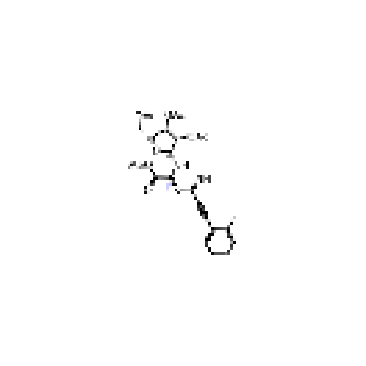 COC(=O)/C(=N/C(=N)C#Cc1ccccc1F)N[C@@H]1O[C@H](COC(C)=O)C(OC(C)=O)C1OC(C)=O